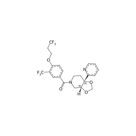 O=C(c1ccc(OCCC(F)(F)F)c(C(F)(F)F)c1)N1CC[C@]2(c3ccccn3)OCO[C@@H]2C1